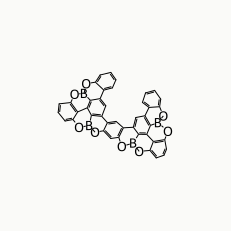 c1ccc2c(c1)OB1Oc3cccc4c3-c3c1c-2cc1c3B(Oc2cc3c(cc2-1)-c1cc2c5c6c1B(O3)Oc1cccc(c1-6)OB5Oc1ccccc1-2)O4